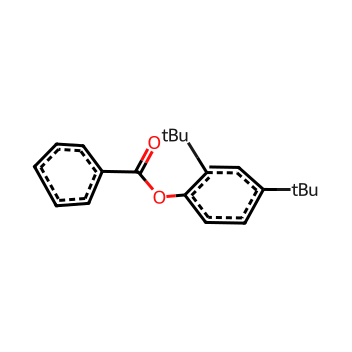 CC(C)(C)c1ccc(OC(=O)c2ccccc2)c(C(C)(C)C)c1